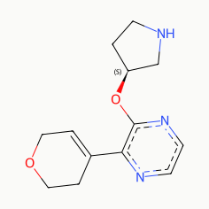 C1=C(c2nccnc2O[C@H]2CCNC2)CCOC1